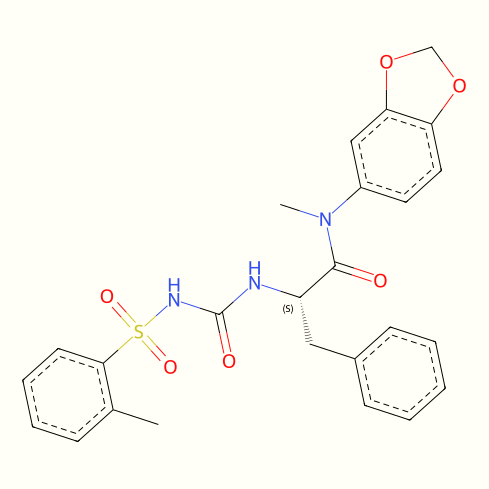 Cc1ccccc1S(=O)(=O)NC(=O)N[C@@H](Cc1ccccc1)C(=O)N(C)c1ccc2c(c1)OCO2